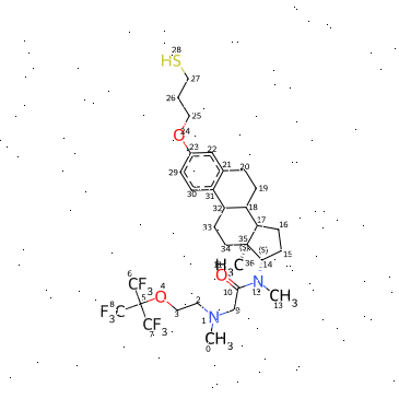 CN(CCOC(C(F)(F)F)(C(F)(F)F)C(F)(F)F)CC(=O)N(C)[C@H]1CCC2C3CCc4cc(OCCCS)ccc4C3CC[C@@]21C